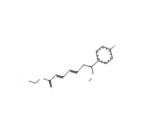 CCOC(=O)/C=C/C=C/CC(OC)c1ccc(C)cc1